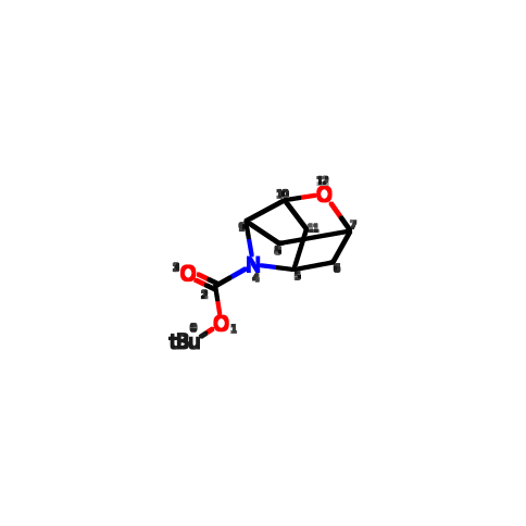 CC(C)(C)OC(=O)N1C2CC3CC1C(C2)O3